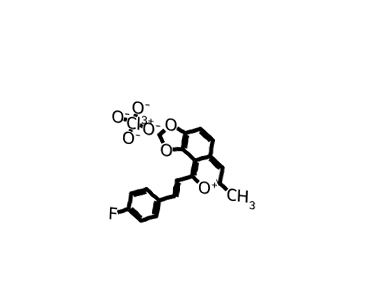 Cc1cc2ccc3c(c2c(C=Cc2ccc(F)cc2)[o+]1)OCO3.[O-][Cl+3]([O-])([O-])[O-]